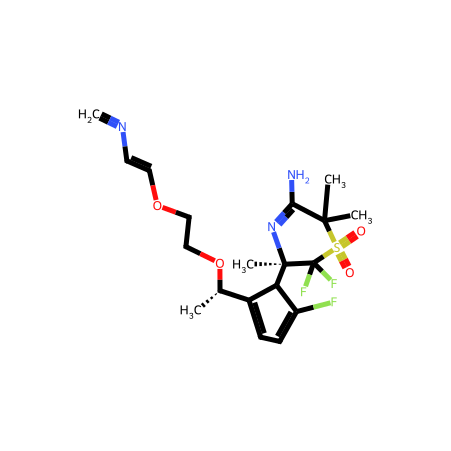 C=N/C=C/OCCO[C@@H](C)C1=CC=C(F)C1[C@@]1(C)N=C(N)C(C)(C)S(=O)(=O)C1(F)F